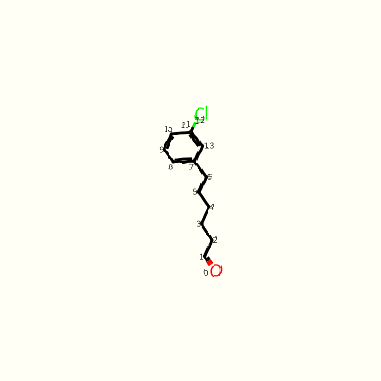 O=CCCCCCc1cccc(Cl)c1